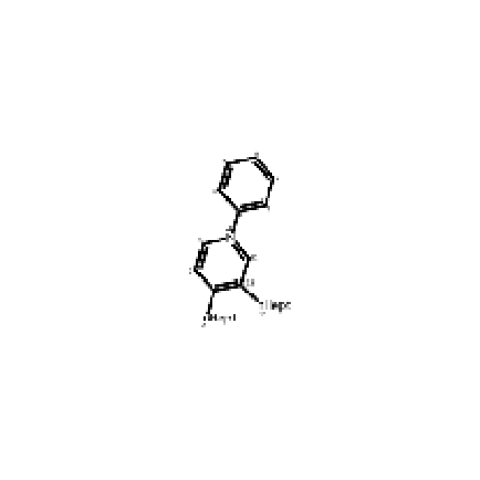 CCCCCCCc1cc[n+](-c2ccccc2)cc1CCCCCCC